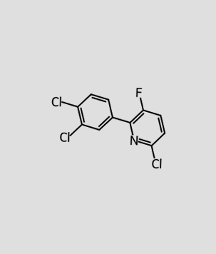 Fc1ccc(Cl)nc1-c1ccc(Cl)c(Cl)c1